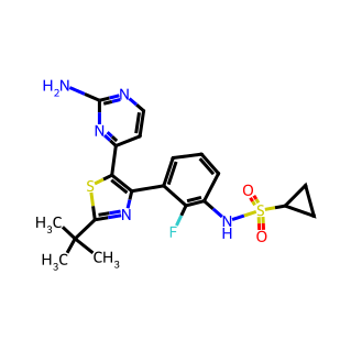 CC(C)(C)c1nc(-c2cccc(NS(=O)(=O)C3CC3)c2F)c(-c2ccnc(N)n2)s1